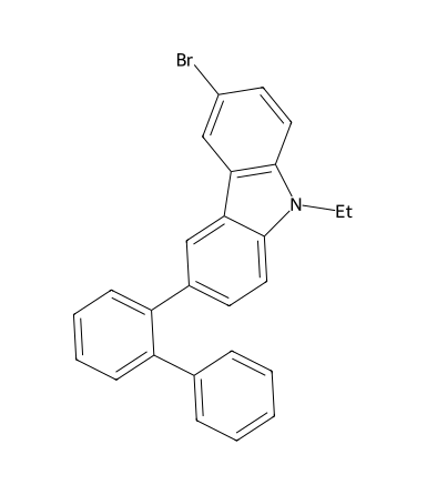 CCn1c2ccc(Br)cc2c2cc(-c3ccccc3-c3ccccc3)ccc21